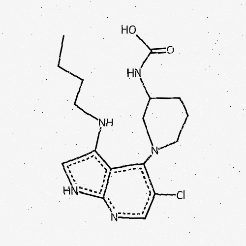 CCCCNc1c[nH]c2ncc(Cl)c(N3CCCC(NC(=O)O)C3)c12